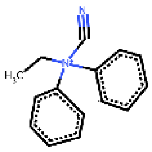 CC[N+](C#N)(c1[c]cccc1)c1ccccc1